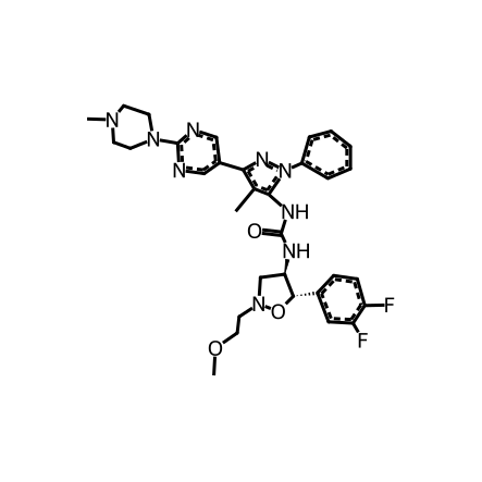 COCCN1C[C@@H](NC(=O)Nc2c(C)c(-c3cnc(N4CCN(C)CC4)nc3)nn2-c2ccccc2)[C@H](c2ccc(F)c(F)c2)O1